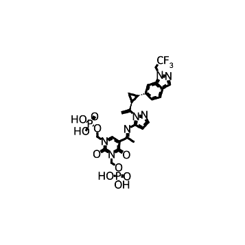 C=C([C@H]1C[C@@H]1c1ccc2cnn(CC(F)(F)F)c2c1)n1nccc1/N=C(\C)c1cn(COP(=O)(O)O)c(=O)n(COP(=O)(O)O)c1=O